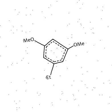 C[C]c1cc(OC)cc(OC)c1